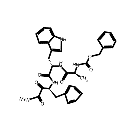 CNC(=O)C(=O)[C@H](Cc1ccccc1)NC(=O)[C@H](Cc1c[nH]c2ccccc12)NC(=O)[C@H](C)NC(=O)OCc1ccccc1